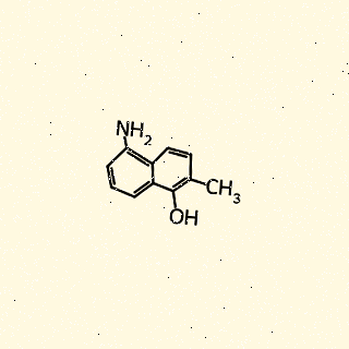 Cc1ccc2c(N)cccc2c1O